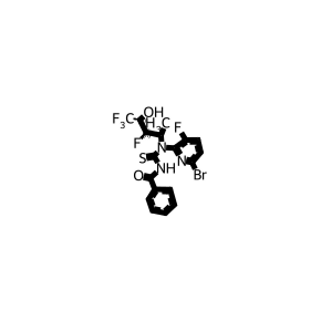 CC([C@@H](F)[C@@H](O)C(F)(F)F)N(C(=S)NC(=O)c1ccccc1)c1nc(Br)ccc1F